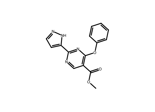 COC(=O)c1cnc(-c2ccn[nH]2)nc1Oc1ccccc1